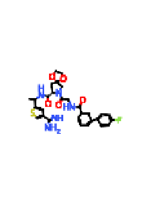 CC(NC(=O)[C@@H]1CC2(CN1C(=O)CNC(=O)c1cccc(-c3ccc(F)cc3)c1)OCCO2)c1cc(C(=N)N)cs1